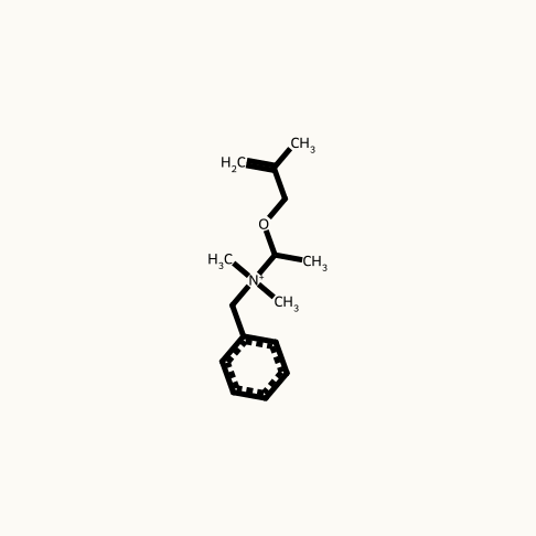 C=C(C)COC(C)[N+](C)(C)Cc1ccccc1